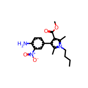 CCCCn1c(C)c(C(=O)OC)c(-c2ccc(N)c([N+](=O)[O-])c2)c1C